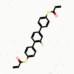 C=CC(=O)Sc1ccc(-c2ccc(-c3ccc(SC(=O)C=C)cc3)c(F)c2)cc1